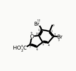 Cc1c(Br)cc2cc(C(=O)O)oc2c1Br